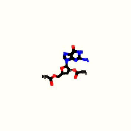 CC(=O)OCC1C[C@@H](OC(C)=O)C(n2cnc3c(=O)[nH]c(N)nc32)O1